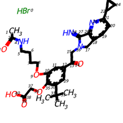 Br.CC(=O)NCCCCOc1cc(C(=O)CN2Cc3ccc(C4CC4)nc3C2=N)cc(C(C)(C)C)c1OCC(=O)O